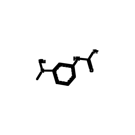 CC(C)C(=O)Nc1cccc(N(C)C(C)(C)C)c1